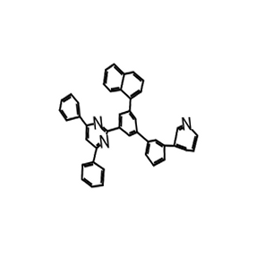 c1ccc(-c2cc(-c3ccccc3)nc(-c3cc(-c4cccc(-c5cccnc5)c4)cc(-c4cccc5ccccc45)c3)n2)cc1